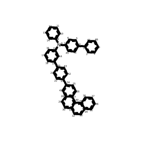 c1ccc(-c2ccc(N(c3ccccc3)c3cccc(-c4ccc(-c5ccc6c(ccc7ccc8ccccc8c76)c5)cc4)c3)cc2)cc1